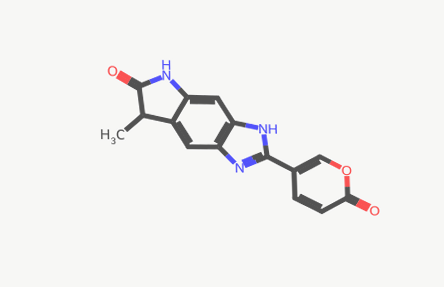 CC1C(=O)Nc2cc3[nH]c(-c4ccc(=O)oc4)nc3cc21